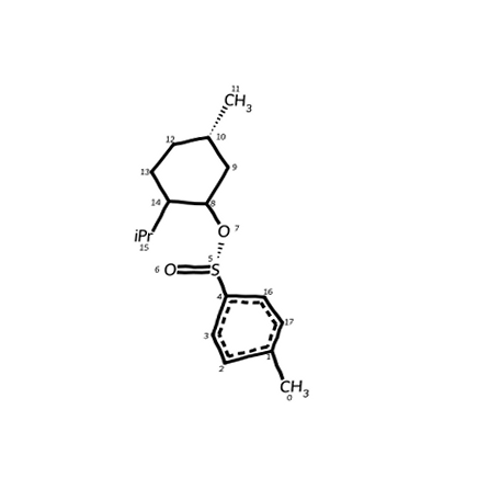 Cc1ccc([S@](=O)OC2C[C@@H](C)CCC2C(C)C)cc1